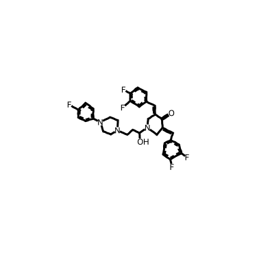 O=C1/C(=C/c2ccc(F)c(F)c2)CN(C(O)CCN2CCN(c3ccc(F)cc3)CC2)C/C1=C\c1ccc(F)c(F)c1